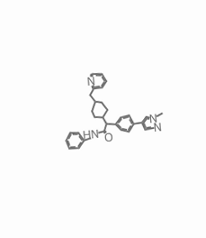 Cn1cc(-c2ccc(C(C(=O)NCc3ccccc3)C3CCC(Cc4ccccn4)CC3)cc2)cn1